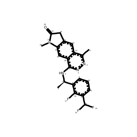 Cc1nnc(N[C@H](C)c2cccc(C(F)F)c2F)c2cc3c(cc12)CC(=O)N3C